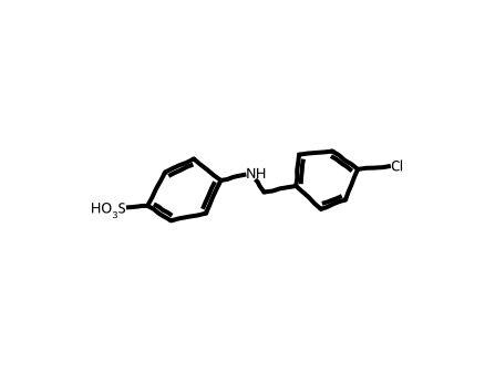 O=S(=O)(O)c1ccc(NCc2ccc(Cl)cc2)cc1